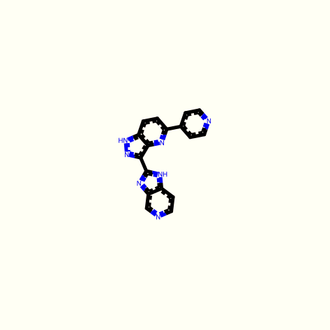 c1cc(-c2ccc3[nH]nc(-c4nc5cnccc5[nH]4)c3n2)ccn1